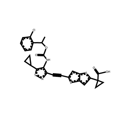 CC(OC(=O)Nc1c(C#Cc2cc3sc(C4(C(=O)O)CC4)cc3s2)nsc1C1CC1)c1ccccc1Cl